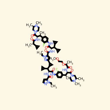 CCn1nc(C2CC2C(C2CC2)[C@H](NC(=O)c2ccnn2CC)C(=O)Nc2ccc([C@H](C)[C@@H](NC(=O)[C@H](C)OCCOC)C(=O)N3CCN(C)[C@H](C)C3)cc2F)cc1C(=O)N[C@H](C(=O)Nc1ccc([C@H](C)[C@@H](NC(=O)[C@@H](C)C2CC2)C(=O)N2CCN(C)[C@H](C)C2)cc1F)C(C1CC1)C1CC1